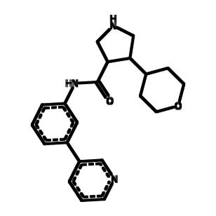 O=C(Nc1cccc(-c2cccnc2)c1)C1CNCC1C1CCOCC1